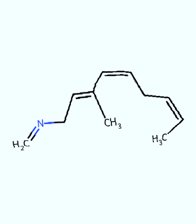 C=NC/C=C(C)/C=C\C/C=C\C